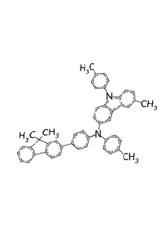 Cc1ccc(N(c2ccc(-c3ccc4c(c3)C(C)(C)c3ccccc3-4)cc2)c2ccc3c(c2)c2cc(C)ccc2n3-c2ccc(C)cc2)cc1